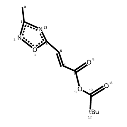 Cc1noc(/C=C/C(=O)OC(=O)C(C)(C)C)n1